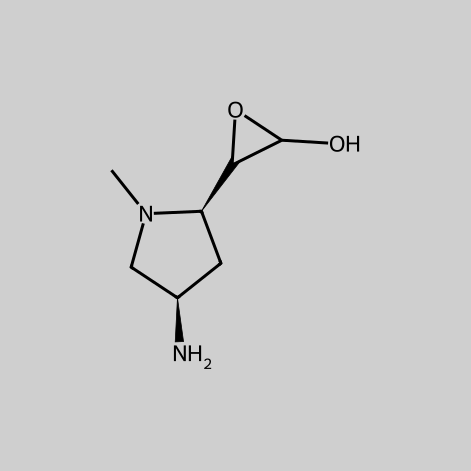 CN1C[C@H](N)C[C@@H]1C1OC1O